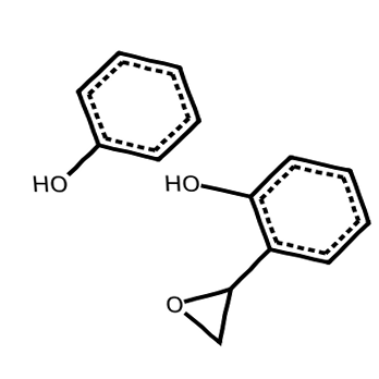 Oc1ccccc1.Oc1ccccc1C1CO1